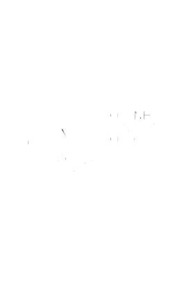 CCC1(CC)O[C@@H](COS(N)(=O)=O)[C@H](c2ccccc2Cl)O1